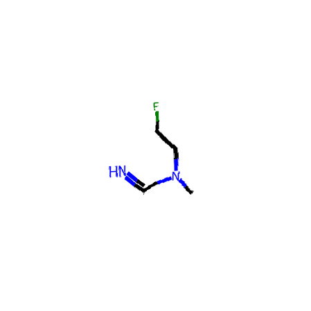 CN([C]=N)CCF